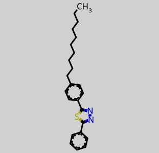 CCCCCCCCCCc1ccc(-c2nnc(-c3ccccc3)s2)cc1